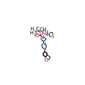 CC(C)(C)OC(=O)N1C[C@@H](N2CCC(c3ccc4c(c3)CCO4)CC2)C[C@H]1C(=O)N1CCSC1